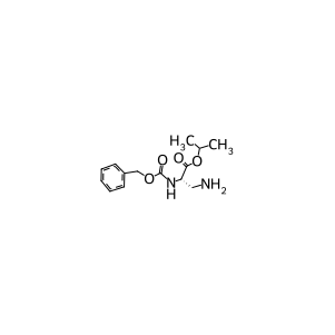 CC(C)OC(=O)[C@H](CN)NC(=O)OCc1ccccc1